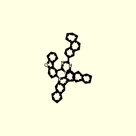 c1ccc2cc(-c3nc(-c4ccc5c(ccc6ccccc65)c4)nc(-c4c(-n5c6ccccc6c6cc7ccccc7cc65)ccc5oc6ccccc6c45)n3)ccc2c1